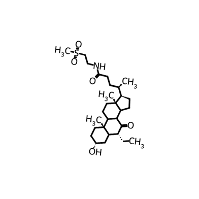 CC[C@H]1C(=O)C2C(CC[C@@]3(C)C2CC[C@@H]3[C@H](C)CCC(=O)NCCS(C)(=O)=O)[C@@]2(C)CC[C@@H](O)CC12